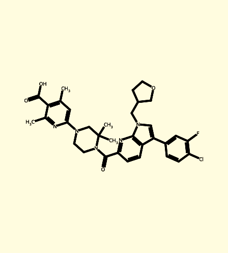 Cc1cc(N2CCN(C(=O)c3ccc4c(-c5ccc(Cl)c(F)c5)cn(CC5CCOC5)c4n3)C(C)(C)C2)nc(C)c1C(=O)O